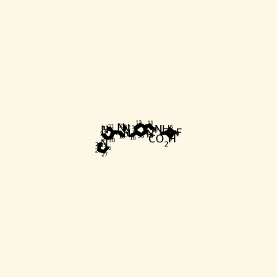 O=C(O)n1c(NCC23CC(F)(C2)C3)cc2ccc(Cn3cc(-c4cncc(N5CCCC5)c4)nn3)cc21